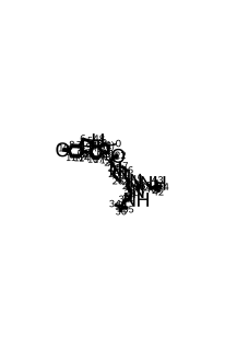 C[C@@H]1C[C@H]2[C@@H]3CCC4=CC(=O)C=C[C@]4(C)C3=CC[C@]2(C)[C@H]1C(=O)CN1CCN(c2cc(NCC(C)(C)C)nc(NCC(C)(C)C)n2)CC1